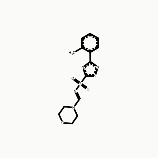 Cc1ccccc1-c1nsc(S(=O)(=O)/N=C/N2CCOCC2)n1